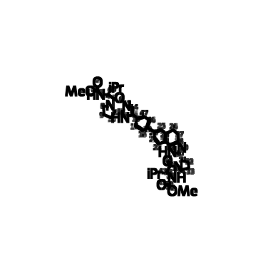 COC(=O)N[C@H](C(=O)N1CCC[C@H]1c1ncc(-c2ccc(-c3ccc4c(c3)CCc3nc([C@@H]5CCCN5C(=O)[C@@H](NC(=O)OC)C(C)C)[nH]c3-4)cc2)[nH]1)C(C)C